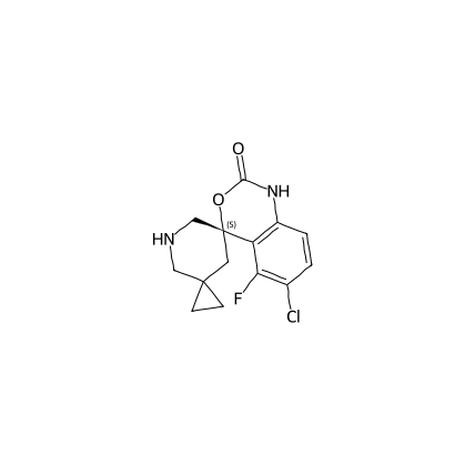 O=C1Nc2ccc(Cl)c(F)c2[C@@]2(CNCC3(CC3)C2)O1